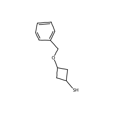 SC1CC(OCc2ccccc2)C1